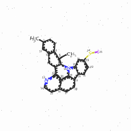 Cc1ccc2c(C)c3c(cc2c1)c1nccc2ccc4c5ccc(SI)cc5n3c4c21